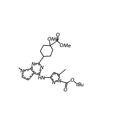 COC(=O)C1(OC)CCC(c2nc(Nc3cc(C)n(C(=O)OC(C)(C)C)n3)c3ccn(C)c3n2)CC1